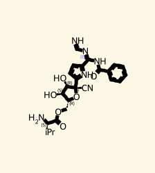 CC(C)[C@H](N)C(=O)OC[C@H]1O[C@@](C#N)(c2ccc(/C(=N\C=N)NC(=O)c3ccccc3)[nH]2)[C@H](O)[C@@H]1O